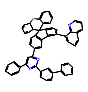 C1=CC2Sc3ccccc3C3(c4ccc(-c5cc(-c6ccccc6)nc(-c6cccc(-c7ccccc7)c6)n5)cc4-c4cc(-c5cccc6cccnc56)ccc43)C2C=C1